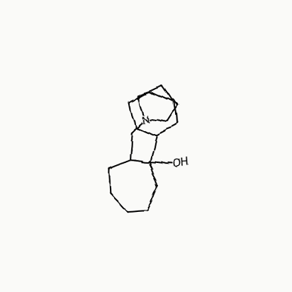 OC1(C2CCCCC2)CCCCCC1CN1CCCC1